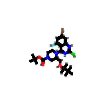 CC(C)(C)OC(=O)N1CCN(c2nc(Cl)nc3cc(Br)cc(F)c23)C(CO[Si](C)(C)C(C)(C)C)C1